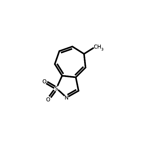 CC1C=CC=C2C(=C1)C=NS2(=O)=O